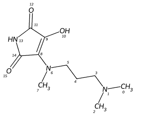 CN(C)CCCN(C)C1=C(O)C(=O)NC1=O